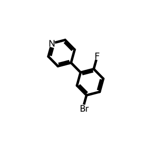 Fc1ccc(Br)cc1-c1ccncc1